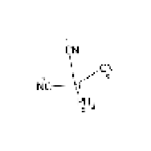 N#CC(P)(C#N)C#N